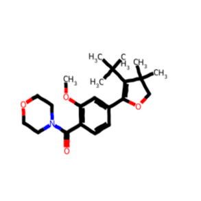 COc1cc(C2=C(C(C)(C)C)C(C)(C)CO2)ccc1C(=O)N1CCOCC1